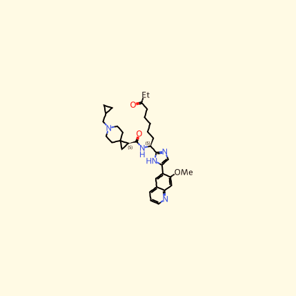 CCC(=O)CCCCC[C@H](NC(=O)[C@H]1CC12CCN(CC1CC1)CC2)c1ncc(-c2cc3cccnc3cc2OC)[nH]1